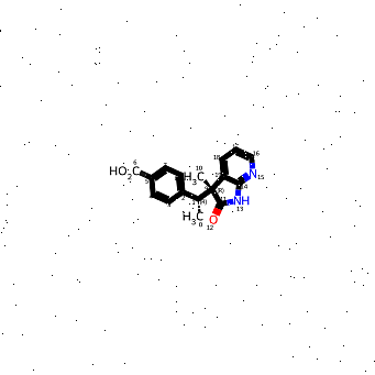 C[C@H](c1ccc(C(=O)O)cc1)[C@@]1(C)C(=O)Nc2ncccc21